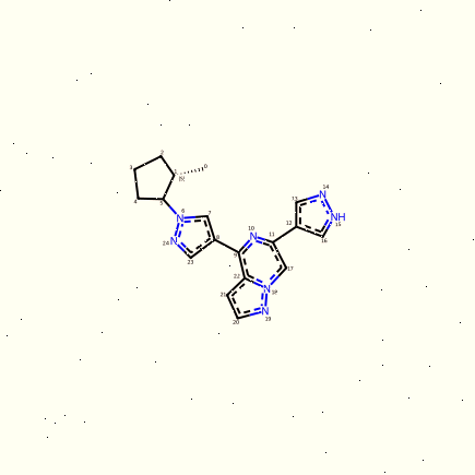 C[C@H]1CCCC1n1cc(-c2nc(-c3cn[nH]c3)cn3nccc23)cn1